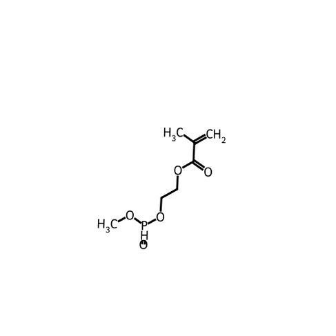 C=C(C)C(=O)OCCO[PH](=O)OC